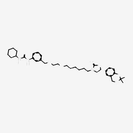 CC1(C)OCc2cc([C@@H]3CN(CCCCCCOCCOCc4cccc(NC(=O)NC5CCCCC5)c4)C(=O)O3)ccc2O1